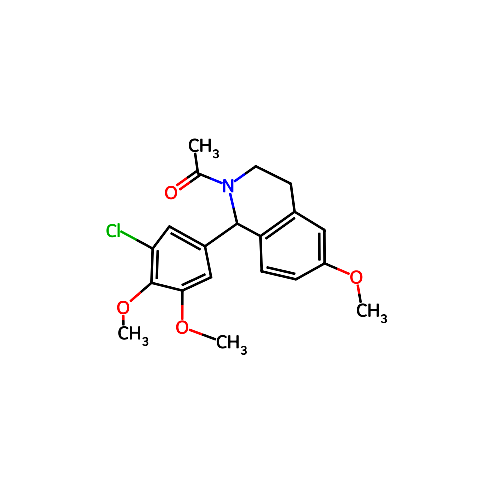 COc1ccc2c(c1)CCN(C(C)=O)C2c1cc(Cl)c(OC)c(OC)c1